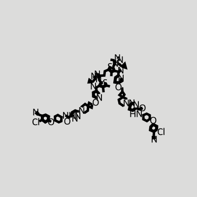 Cc1sc2c(c1C)C(c1ccc(OC3CC4(CCN(c5ccc(C(=O)N[C@H]6CC[C@H](Oc7ccc(C#N)c(Cl)c7)CC6)nn5)CC4)C3)nc1)=NC1(CC1)c1nnc(CCc3sc4c(c3C)C(c3ccc(OCC5CC6(CCCN(c7ccc(C(=O)N[C@H]8CC[C@H](Oc9ccc(C#N)c(Cl)c9)CC8)nn7)C6)C5)cn3)=NC3(CC3)c3nnc(C)n3-4)n1-2